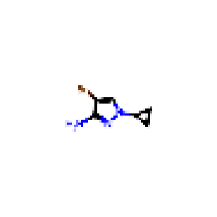 Nc1nn(C2CC2)cc1Br